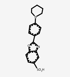 O=S(=O)(O)c1ccc2oc(-c3ccc(N4CCCCC4)cc3)nc2c1